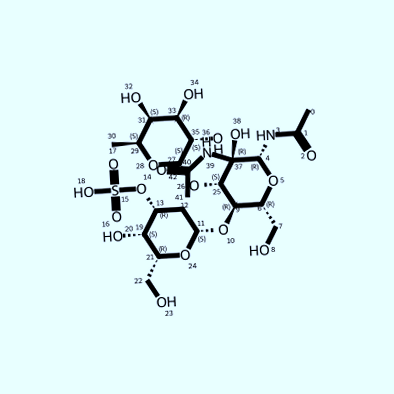 CC(=O)N[C@@H]1O[C@H](CO)[C@@H](O[C@H]2C[C@@H](OS(=O)(=O)O)[C@@H](O)[C@@H](CO)O2)[C@H](O[C@@H]2O[C@@H](C)[C@@H](O)[C@@H](O)[C@@H]2O)[C@]1(O)NC(C)=O